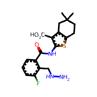 CC1(C)CCc2sc(NC(=O)c3cccc(F)c3CNN)c(C(=O)O)c2C1